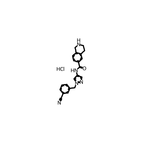 Cl.N#Cc1cccc(Cn2cc(NC(=O)c3ccc4c(c3)CCNC4)cn2)c1